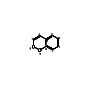 [c]1ccc2c(c1)C=COO2